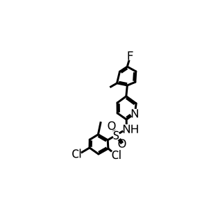 Cc1cc(F)ccc1-c1ccc(NS(=O)(=O)c2c(C)cc(Cl)cc2Cl)nc1